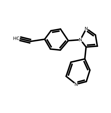 C#Cc1ccc(-n2nccc2-c2ccncc2)cc1